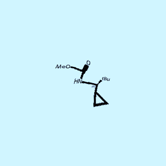 COC(=O)N[C@H](C1CC1)C(C)(C)C